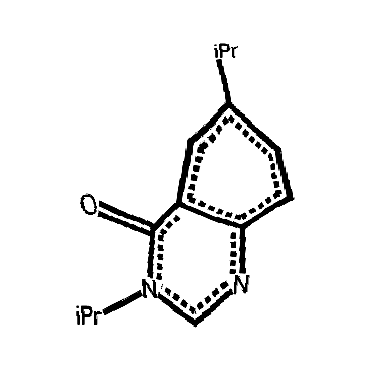 CC(C)c1ccc2ncn(C(C)C)c(=O)c2c1